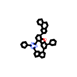 c1ccc(-c2cc(-c3ccccc3)c3oc4c(-c5ccc6ccc7ccccc7c6c5)ccc(-c5nc(-c6ccccc6)nc(-c6ccccc6)n5)c4c3c2)cc1